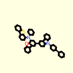 c1ccc(-c2ccc(-n3c4ccccc4c4cc(-c5cc(N(c6ccccc6)c6cccc7c6sc6ccccc67)c6oc7ccccc7c6c5)ccc43)cc2)cc1